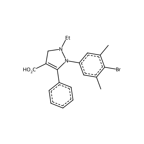 CCN1CC(C(=O)O)=C(c2ccccc2)N1c1cc(C)c(Br)c(C)c1